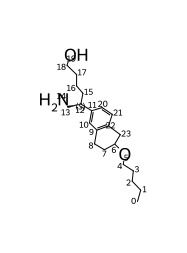 CCCCCOC1CCc2cc([C@@H](CN)CCCCO)ccc2C1